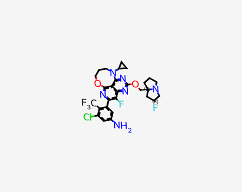 Nc1cc(Cl)c(C(F)(F)F)c(-c2nc3c4c(nc(OC[C@@]56CCCN5C[C@H](F)C6)nc4c2F)N(C2CC2)CCCO3)c1